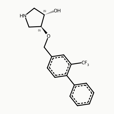 O[C@H]1CNC[C@@H]1OCc1ccc(-c2ccccc2)c(C(F)(F)F)c1